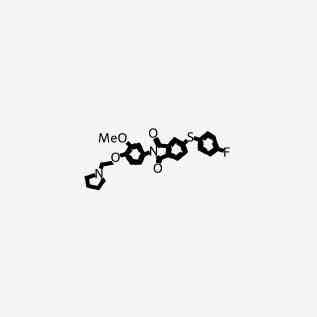 COc1cc(N2C(=O)c3ccc(Sc4ccc(F)cc4)cc3C2=O)ccc1OCCN1CCCC1